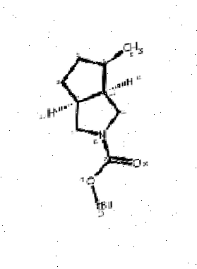 C[C@@H]1CC[C@@H]2CN(C(=O)OC(C)(C)C)C[C@@H]21